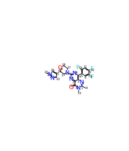 Cc1nc2c(-c3cc(F)c(F)cc3F)nc(N3CCO[C@@H](c4cnn(C)c4)C3)nc2c(=O)n1C